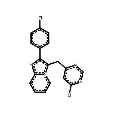 Clc1ccc(-c2nc3ccccn3c2Cc2cc(Cl)ncn2)cc1